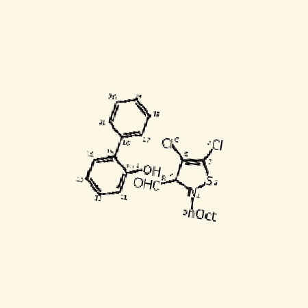 CCCCCCCCN1SC(Cl)=C(Cl)C1C=O.Oc1ccccc1-c1ccccc1